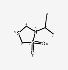 CC(I)N1CSCS1(=O)=O